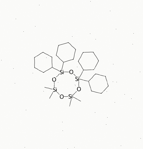 C[Si]1(C)O[Si](C)(C)O[Si](C2CCCCC2)(C2CCCCC2)O[Si](C2CCCCC2)(C2CCCCC2)O1